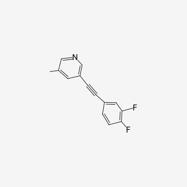 Cc1cncc(C#Cc2ccc(F)c(F)c2)c1